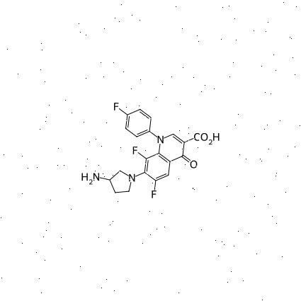 NC1CCN(c2c(F)cc3c(=O)c(C(=O)O)cn(-c4ccc(F)cc4)c3c2F)C1